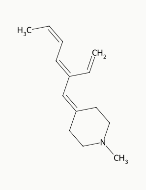 C=C/C(C=C1CCN(C)CC1)=C\C=C/C